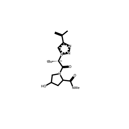 C=C(C)c1cn([C@H](C(=O)N2CC(O)CC2C(=O)NC)C(C)(C)C)nn1